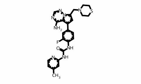 Cc1ccnc(NC(=O)Nc2ccc(-c3cc(CN4CCSCC4)n4ncnc(N)c34)cc2F)c1